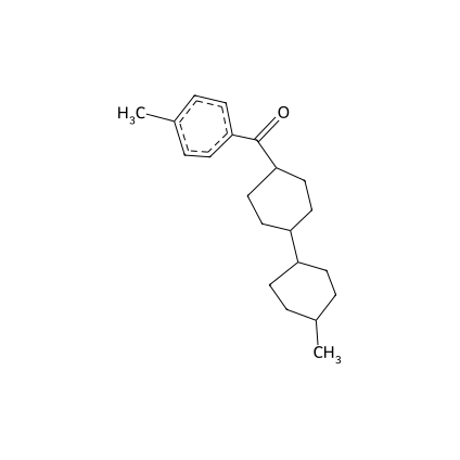 Cc1ccc(C(=O)C2CCC(C3CCC(C)CC3)CC2)cc1